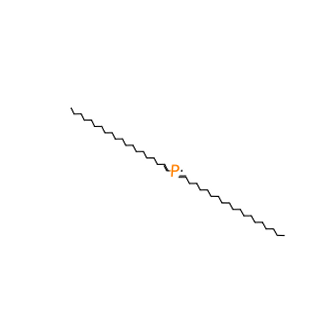 CCCCCCCCCCCCCCCCCC/C=C/[P]/C=C/CCCCCCCCCCCCCCCCCC